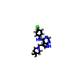 CC1(C)CCN(Cc2c[nH]c3ncnc(Nc4ccc(Cl)cc4)c23)CC1